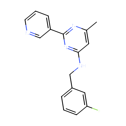 Cc1cc(NCc2cccc(F)c2)nc(-c2cccnc2)n1